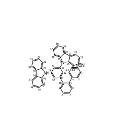 N#Cc1ccc(-c2ccccc2-c2cc(-n3c4ccccc4c4ccccc43)cc(-n3c4ccccc4c4cccnc43)c2)cc1